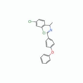 CC(N=Cc1ccc(Oc2ccccc2)cc1)c1ccc(Cl)cc1Cl